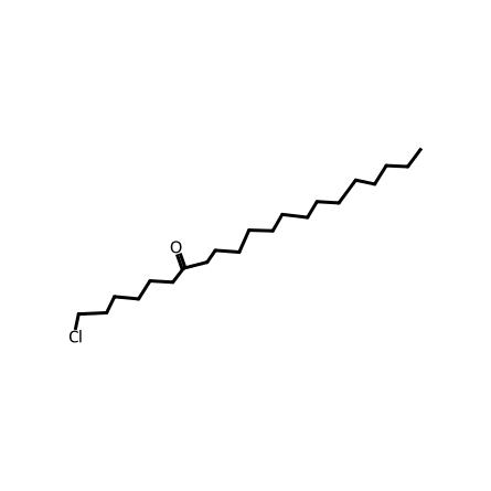 CCCCCCCCCCCCCCC(=O)CCCCCCCl